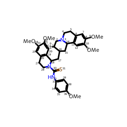 CCC1CN2CCc3cc(OC)c(OC)cc3C2CC1CC1c2cc(OC)c(OC)cc2CCN1C(=S)Nc1ccc(OC)cc1